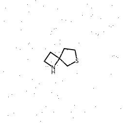 C1CC2(CCSC2)N1